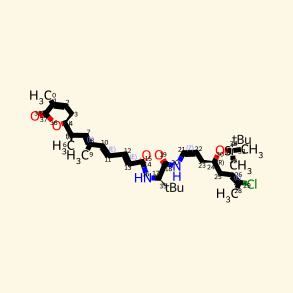 CC1=CC[C@@H]([C@@H](C)/C=C(C)/C=C/C=C/C(=O)N[C@H](C(=O)N/C=C\C[C@H](C/C=C(\C)Cl)O[Si](C)(C)C(C)(C)C)C(C)(C)C)OC1=O